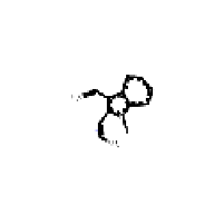 C=Cc1c(/C=C\C)n(I)c2ccccc12